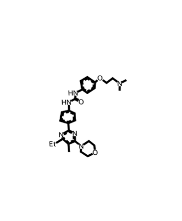 CCc1nc(-c2ccc(NC(=O)Nc3ccc(OCCN(C)C)cc3)cc2)nc(N2CCOCC2)c1C